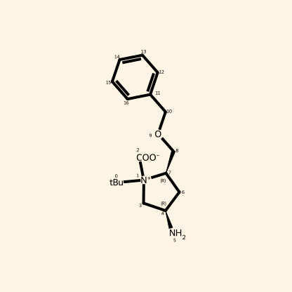 CC(C)(C)[N+]1(C(=O)[O-])C[C@H](N)C[C@@H]1COCc1ccccc1